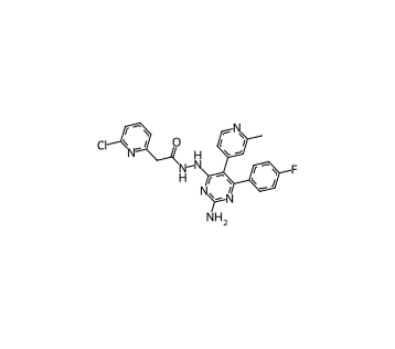 Cc1cc(-c2c(NNC(=O)Cc3cccc(Cl)n3)nc(N)nc2-c2ccc(F)cc2)ccn1